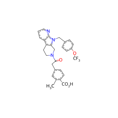 Cc1cc(CC(=O)N2CCc3c(n(Cc4ccc(OC(F)(F)F)cc4)c4ncccc34)C2)ccc1C(=O)O